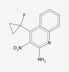 Nc1nc2ccccc2c(C2(F)CC2)c1[N+](=O)[O-]